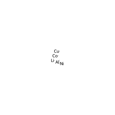 [Al].[Co].[Cu].[Li].[Ni]